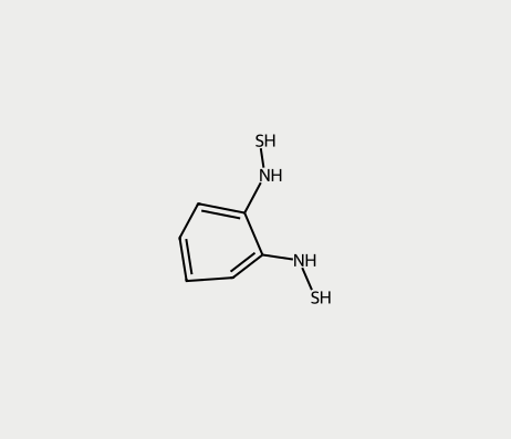 SNc1ccccc1NS